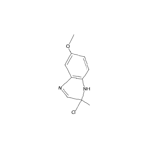 COc1ccc2c(c1)N=CC(C)(Cl)N2